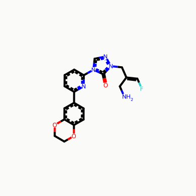 NC/C(=C\F)Cn1ncn(-c2cccc(-c3ccc4c(c3)OCCO4)n2)c1=O